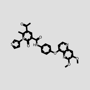 COc1cc2nccc(Oc3ccc(NC(=O)c4cc(C(C)=O)c(C)n(-c5ccsc5)c4=O)cc3)c2nc1OC